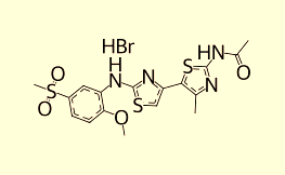 Br.COc1ccc(S(C)(=O)=O)cc1Nc1nc(-c2sc(NC(C)=O)nc2C)cs1